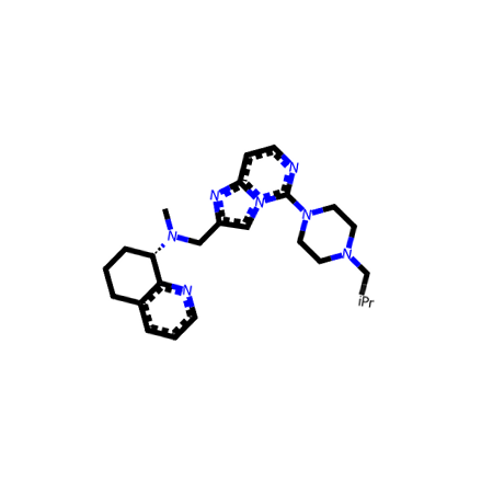 CC(C)CN1CCN(c2nccc3nc(CN(C)[C@H]4CCCc5cccnc54)cn23)CC1